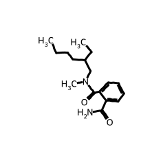 CCCCC(CC)CN(C)C(=O)c1ccccc1C(N)=O